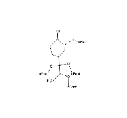 CCCCCOC1CC(C(OCCCCC)(OCCCCC)C([SiH3])OCCCCC)CCC1O